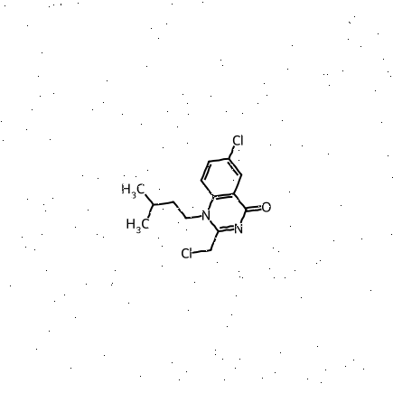 CC(C)CCn1c(CCl)nc(=O)c2cc(Cl)ccc21